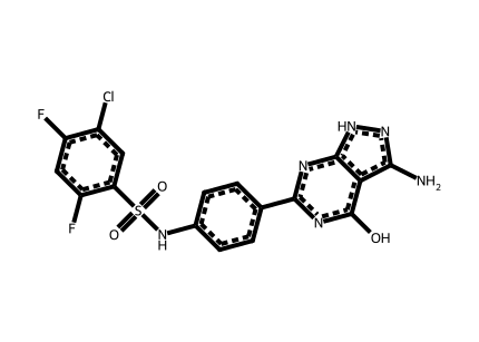 Nc1n[nH]c2nc(-c3ccc(NS(=O)(=O)c4cc(Cl)c(F)cc4F)cc3)nc(O)c12